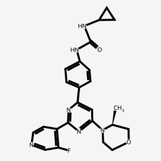 C[C@H]1COCCN1c1cc(-c2ccc(NC(=O)NC3CC3)cc2)nc(-c2ccncc2F)n1